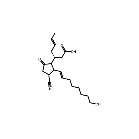 CC=CC[C@H](CC(=O)O)C1C(=O)CC(C#N)C1C=CCCCCCCO